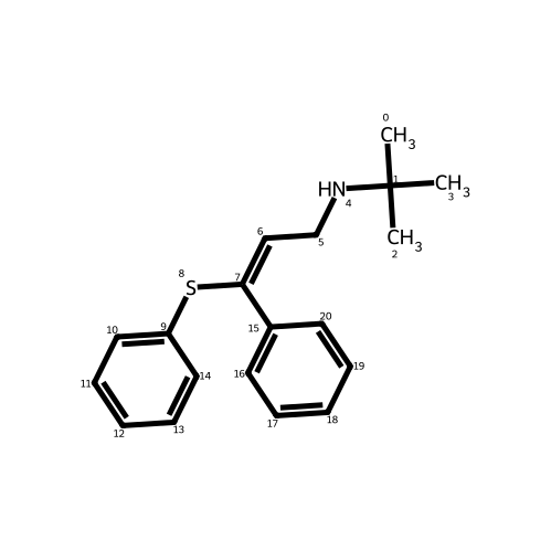 CC(C)(C)NCC=C(Sc1ccccc1)c1ccccc1